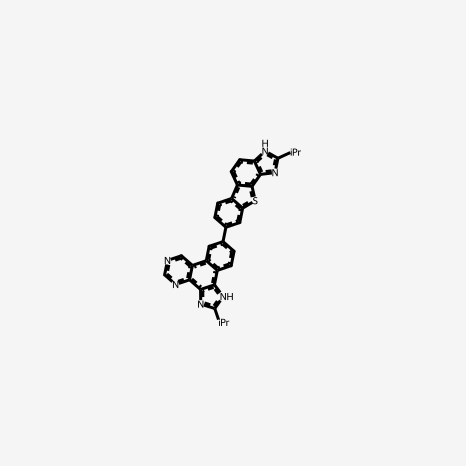 CC(C)c1nc2c(ccc3c4ccc(-c5ccc6c(c5)c5cncnc5c5nc(C(C)C)[nH]c65)cc4sc32)[nH]1